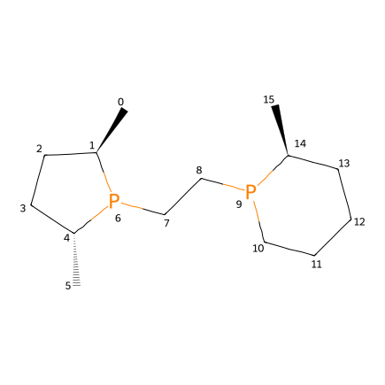 C[C@@H]1CC[C@@H](C)P1CCP1CCCC[C@@H]1C